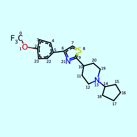 FC(F)(F)Oc1ccc(-c2csc(C3CCN(C4CCCC4)CC3)n2)cc1